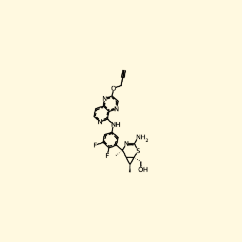 C#CCOc1cnc2c(Nc3cc(F)c(F)c([C@@]4(C)N=C(N)S[C@]5(CO)C4[C@@H]5C)c3)nccc2n1